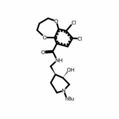 CCCCN1CC[C@@H](CNC(=O)c2cc(Cl)c(Cl)c3c2OCCCO3)[C@H](O)C1